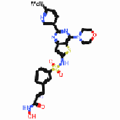 CNc1ccc(-c2nc(N3CCOCC3)c3sc(NS(=O)(=O)c4cccc(/C=C/C(=O)NO)c4)cc3n2)cn1